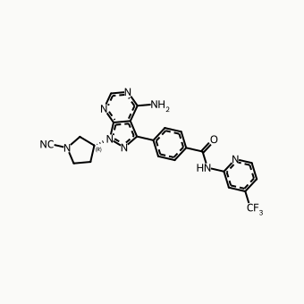 N#CN1CC[C@@H](n2nc(-c3ccc(C(=O)Nc4cc(C(F)(F)F)ccn4)cc3)c3c(N)ncnc32)C1